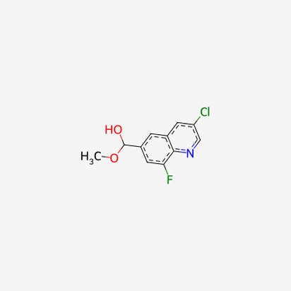 COC(O)c1cc(F)c2ncc(Cl)cc2c1